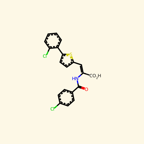 O=C(O)C(=Cc1ccc(-c2ccccc2Cl)s1)NC(=O)c1ccc(Cl)cc1